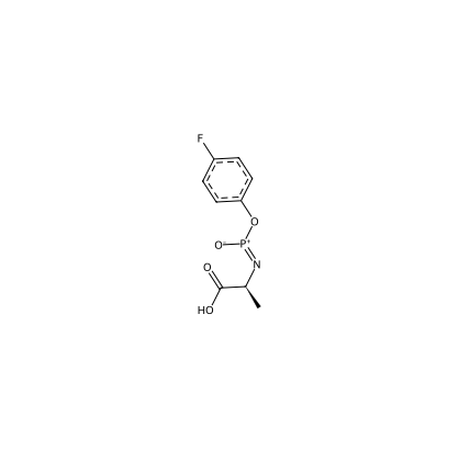 C[C@H](N=[P+]([O-])Oc1ccc(F)cc1)C(=O)O